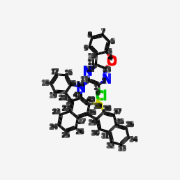 Clc1nc2oc3ccccc3c2nc1-n1c2ccccc2c2c3ccccc3c3c4cc5ccccc5cc4sc3c21